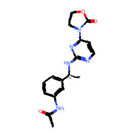 CC(=O)Nc1cccc([C@H](C)Nc2nccc(N3CCOC3=O)n2)c1